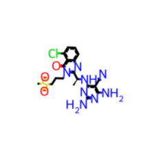 C[C@H](Nc1nc(N)nc(N)c1C#N)c1nc2cccc(Cl)c2c(=O)n1CCCS(C)(=O)=O